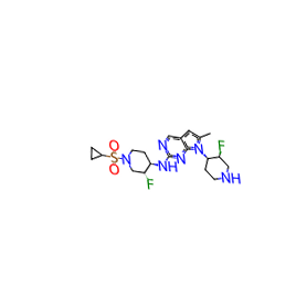 Cc1cc2cnc(N[C@@H]3CCN(S(=O)(=O)C4CC4)C[C@H]3F)nc2n1[C@@H]1CCNC[C@@H]1F